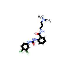 CN(C)CCCNC(=O)c1ccccc1NC(=O)Nc1ccc(Cl)c(Cl)c1